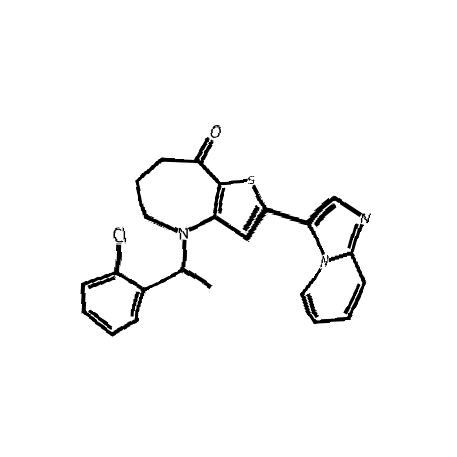 CC(c1ccccc1Cl)N1CCCC(=O)c2sc(-c3cnc4ccccn34)cc21